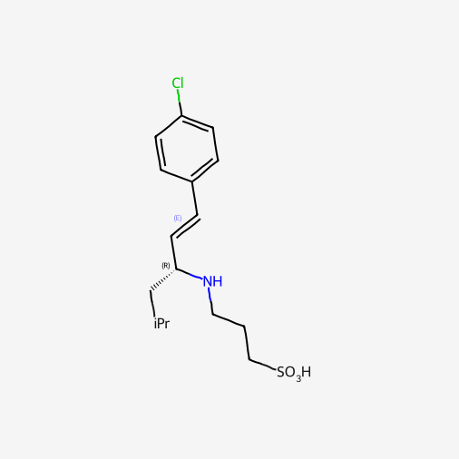 CC(C)C[C@H](/C=C/c1ccc(Cl)cc1)NCCCS(=O)(=O)O